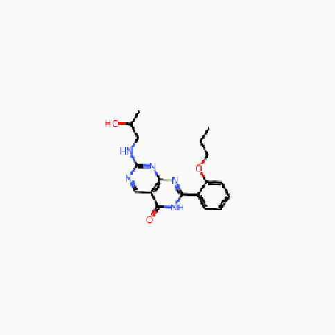 CCCOc1ccccc1-c1nc2nc(NCC(C)O)ncc2c(=O)[nH]1